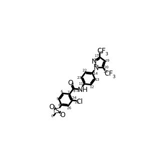 CS(=O)(=O)c1ccc(C(=O)Nc2ccc(-n3nc(C(F)(F)F)cc3C(F)(F)F)cc2)c(Cl)c1